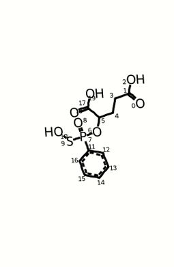 O=C(O)CCC(OP(=O)(SO)c1ccccc1)C(=O)O